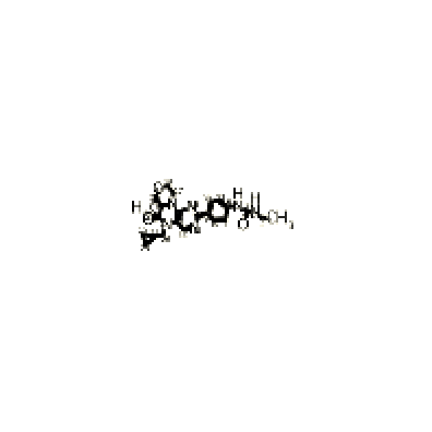 CCNC(=O)Nc1ccc(-c2ncc3c(n2)N2CCOC[C@]2(C)C(=O)N3CC2CC2)cc1